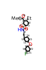 CCc1ccc(S(=O)(=O)NCCc2ccc(Oc3ccc(F)cc3)cc2)cc1C(=O)OC